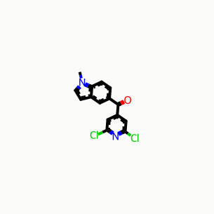 Cn1ccc2cc(C(=O)c3cc(Cl)nc(Cl)c3)ccc21